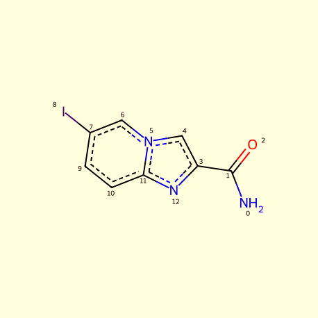 NC(=O)c1cn2cc(I)ccc2n1